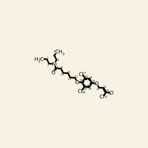 CCCN(CCC)C(=O)CCCCCOc1c(Cl)cc(OCC=C(Cl)Cl)cc1Cl